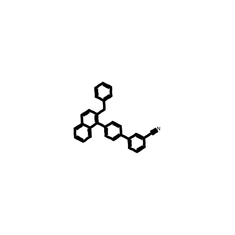 N#Cc1cccc(-c2ccc(-c3c(Cc4ccccc4)ccc4ccccc34)cc2)c1